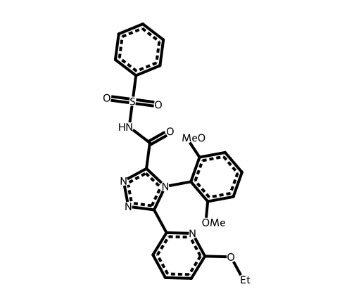 CCOc1cccc(-c2nnc(C(=O)NS(=O)(=O)c3ccccc3)n2-c2c(OC)cccc2OC)n1